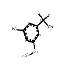 CCCCOc1cc(O)cc(C(C)(C)C#N)c1